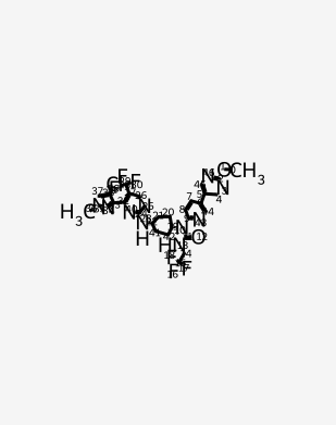 COc1ncc(-c2ccc(N(C(=O)NCC(F)(F)F)[C@H]3CC[C@H](Nc4ncc(C(F)(F)F)c(-c5nn(C)cc5Cl)n4)CC3)nc2)cn1